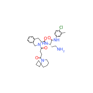 Cc1cc(NC(=O)[C@H](CCN)NC(=O)[C@@H]2Cc3ccccc3CN2C(=O)CCC(=O)N2CCCCC23CCC3)ccc1Cl